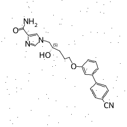 N#Cc1ccc(-c2cccc(OCCC[C@H](O)Cn3cnc(C(N)=O)c3)c2)cc1